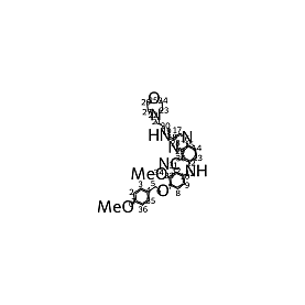 COc1ccc(COc2ccc(Nc3ccc4ncc(NCCN5CCOCC5)nc4c3C#N)cc2OC)cc1